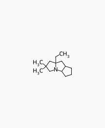 CCC12CC3CCCC3N1CC(C)(C)C2